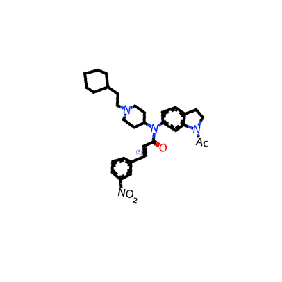 CC(=O)N1CCc2ccc(N(C(=O)/C=C/c3cccc([N+](=O)[O-])c3)C3CCN(CCC4CCCCC4)CC3)cc21